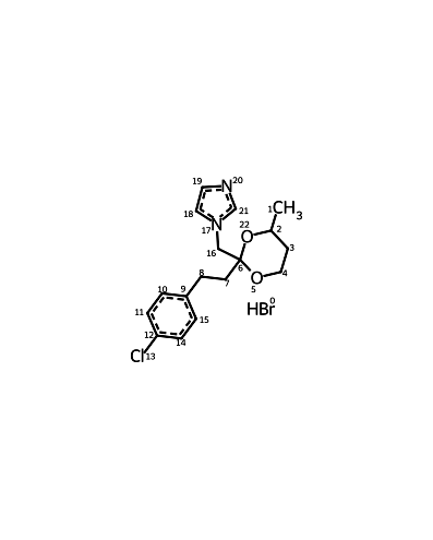 Br.CC1CCOC(CCc2ccc(Cl)cc2)(Cn2ccnc2)O1